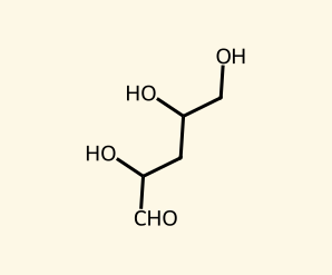 O=CC(O)CC(O)CO